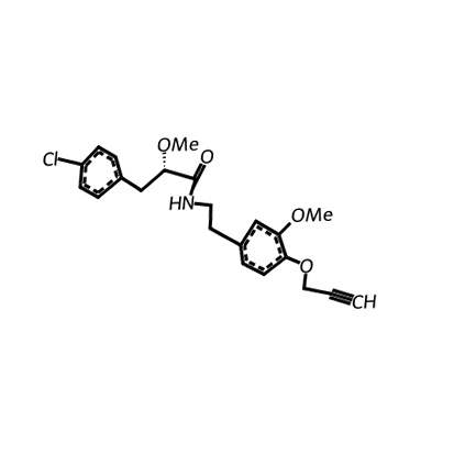 C#CCOc1ccc(CCNC(=O)[C@H](Cc2ccc(Cl)cc2)OC)cc1OC